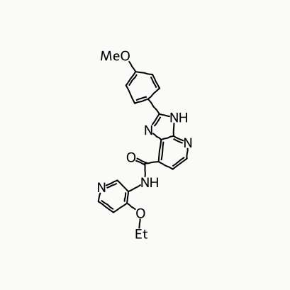 CCOc1ccncc1NC(=O)c1ccnc2[nH]c(-c3ccc(OC)cc3)nc12